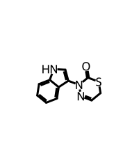 O=C1SCC=NN1c1c[nH]c2ccccc12